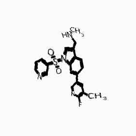 CNCc1cn(S(=O)(=O)c2cccnc2)c2cc(-c3cnc(F)c(C)c3)ccc12